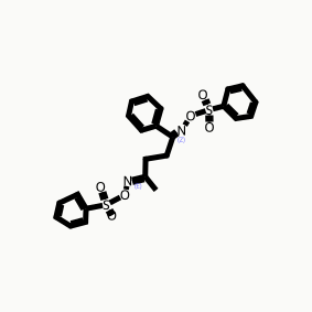 C/C(CC/C(=N/OS(=O)(=O)c1ccccc1)c1ccccc1)=N\OS(=O)(=O)c1ccccc1